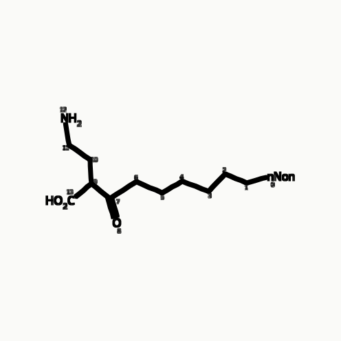 CCCCCCCCCCCCCCCC(=O)C(CCN)C(=O)O